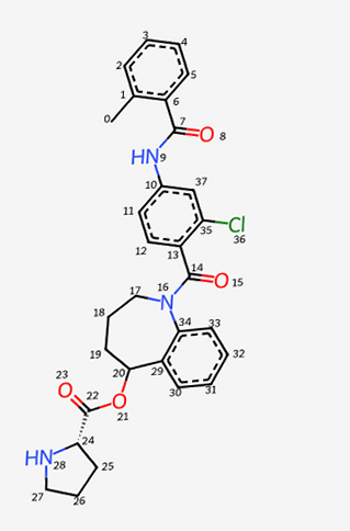 Cc1ccccc1C(=O)Nc1ccc(C(=O)N2CCCC(OC(=O)[C@@H]3CCCN3)c3ccccc32)c(Cl)c1